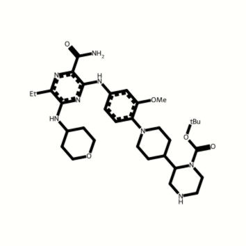 CCc1nc(C(N)=O)c(Nc2ccc(N3CCC(C4CNCCN4C(=O)OC(C)(C)C)CC3)c(OC)c2)nc1NC1CCOCC1